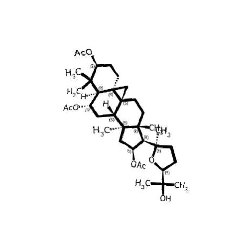 CC(=O)O[C@H]1C[C@@]2(C)[C@@H]3C[C@H](OC(C)=O)[C@H]4C(C)(C)[C@@H](OC(C)=O)CC[C@@]45C[C@@]35CC[C@]2(C)[C@H]1[C@@]1(C)CC[C@@H](C(C)(C)O)O1